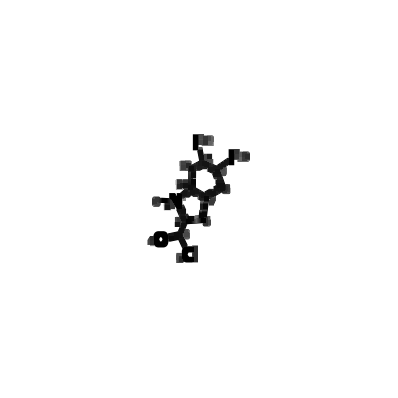 Cn1c(C(=O)Cl)cc2cc(F)c(F)cc21